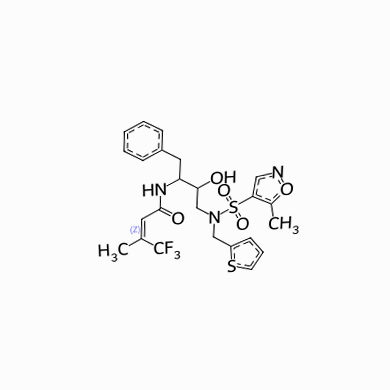 C/C(=C/C(=O)NC(Cc1ccccc1)C(O)CN(Cc1cccs1)S(=O)(=O)c1cnoc1C)C(F)(F)F